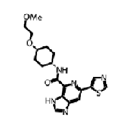 COCCO[C@H]1CC[C@H](NC(=O)c2nc(-c3cncs3)cc3nc[nH]c23)CC1